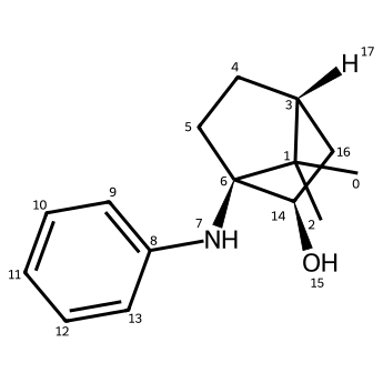 CC1(C)[C@@H]2CC[C@@]1(Nc1ccccc1)[C@H](O)C2